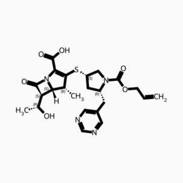 C=CCOC(=O)N1C[C@@H](SC2=C(C(=O)O)N3C(=O)[C@H]([C@@H](C)O)[C@H]3[C@H]2C)C[C@H]1Cc1cncnc1